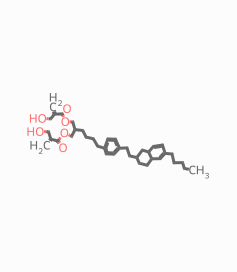 C=C(CO)C(=O)OCC(CCCCc1ccc(CCC2CCC3C=C(CCCCC)C=CC3C2)cc1)COC(=O)C(=C)CO